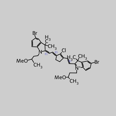 COC(C)CCN1/C(=C/C=C2\CCC(/C=C/C3=[N+](CCC(C)OC)c4ccc(Br)cc4C3(C)C)=C2Cl)C(C)(C)c2cc(Br)ccc21